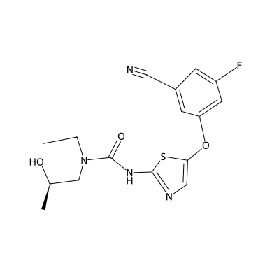 CCN(C[C@@H](C)O)C(=O)Nc1ncc(Oc2cc(F)cc(C#N)c2)s1